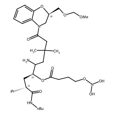 CCCCNC(=O)[C@@H](C[C@H](OC(=O)CCCON(O)O)C(N)CC(C)(C)CC(=O)N1C[C@H](COCOC)Oc2ccccc21)C(C)C